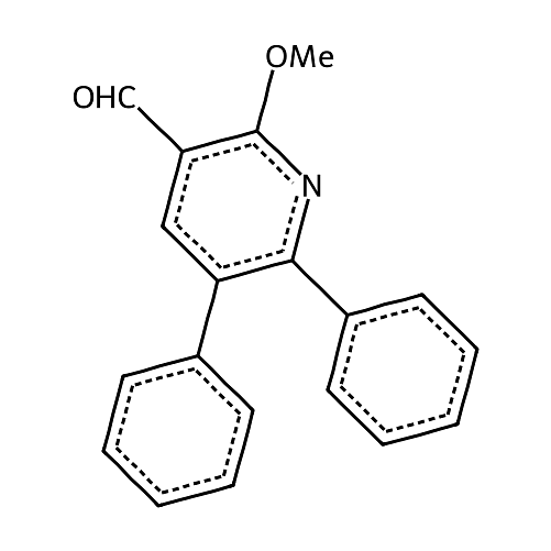 COc1nc(-c2ccccc2)c(-c2ccccc2)cc1C=O